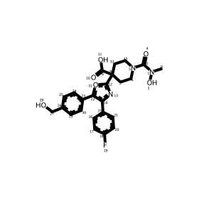 CN(O)C(=O)N1CCC(C(=O)O)(c2nc(-c3ccc(F)cc3)c(-c3ccc(CO)cc3)o2)CC1